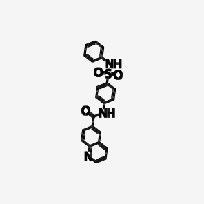 O=C(Nc1ccc(S(=O)(=O)Nc2ccccc2)cc1)c1ccc2ncccc2c1